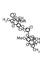 C=C1C[C@H]2[C@H](C)N(B(C)O)c3cc(OCc4cc(Cl)cc(COc5cc6c(cc5C)C(=O)N5CC(=C)C[C@H]5[C@H](OC5CCCCO5)N6B(C)O)c4)c(OC)cc3C(=O)N2C1